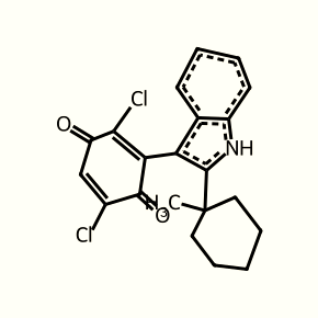 CC1(c2[nH]c3ccccc3c2C2=C(Cl)C(=O)C=C(Cl)C2=O)CCCCC1